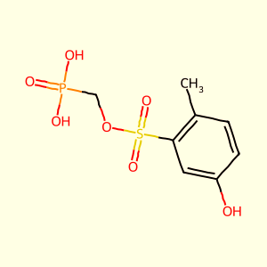 Cc1ccc(O)cc1S(=O)(=O)OCP(=O)(O)O